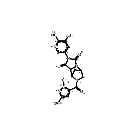 Cc1cc(N2C(=O)C3C4CC(CN4C(=O)c4cc(C(C)(C)C)nn4C)N3C2=O)cnc1C#N